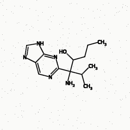 CCCC(O)C(N)(c1ncc2nc[nH]c2n1)C(C)C